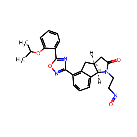 CC(C)Oc1ccccc1-c1nc(-c2cccc3c2C[C@H]2CC(=O)N(CCN=O)[C@@H]32)no1